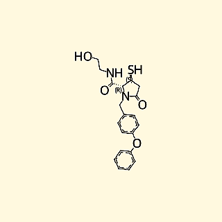 O=C(NCCO)[C@@H]1[C@@H](S)CC(=O)N1Cc1ccc(Oc2ccccc2)cc1